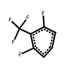 Fc1[c]ccc(F)c1C(F)(F)F